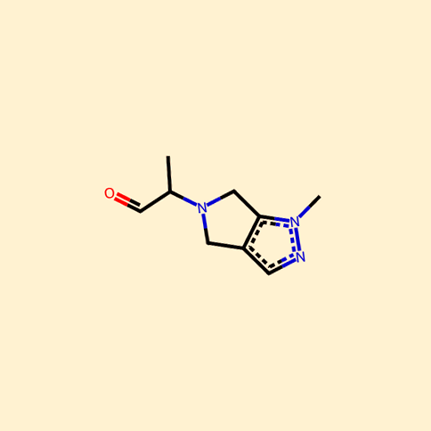 CC(C=O)N1Cc2cnn(C)c2C1